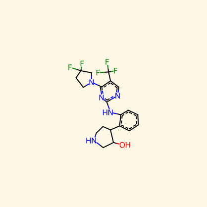 OC1CNCCC1c1ccccc1Nc1ncc(C(F)(F)F)c(N2CCC(F)(F)C2)n1